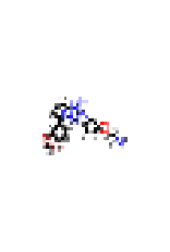 CN(C)CCOc1cccc(Nc2nc3cccc(-c4ccc5c(c4)OCCO5)n3n2)c1